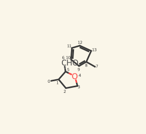 CC1CCOC1C=O.Cc1ccccc1